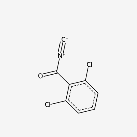 [C-]#[N+]C(=O)c1c(Cl)cccc1Cl